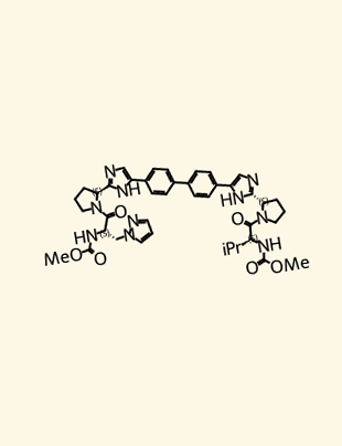 COC(=O)N[C@@H](Cn1cccn1)C(=O)N1CCC[C@H]1c1ncc(-c2ccc(-c3ccc(-c4cnc([C@@H]5CCCN5C(=O)[C@@H](NC(=O)OC)C(C)C)[nH]4)cc3)cc2)[nH]1